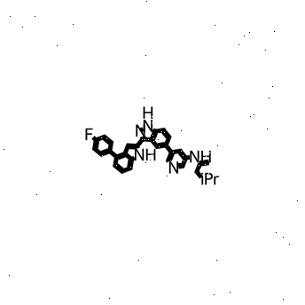 C=C(CC(C)C)Nc1cncc(-c2ccc3[nH]nc(-c4cc5c(-c6ccc(F)cc6)cccc5[nH]4)c3c2)c1